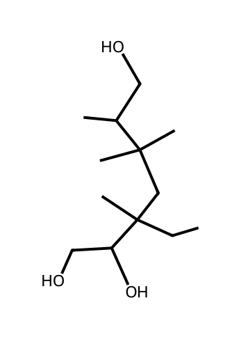 CCC(C)(CC(C)(C)C(C)CO)C(O)CO